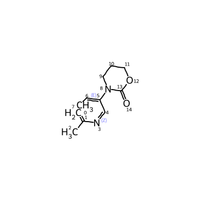 C=C(C)/N=C\C(=C/C)N1CCCOC1=O